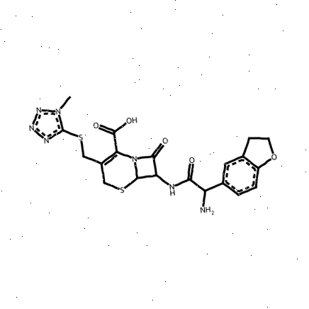 Cn1nnnc1SCC1=C(C(=O)O)N2C(=O)C(NC(=O)C(N)c3ccc4c(c3)CCO4)C2SC1